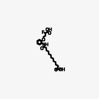 O=C(CCCCCCCCCCCS(=O)O)Nc1ccccc1OCCC(F)C(=O)O